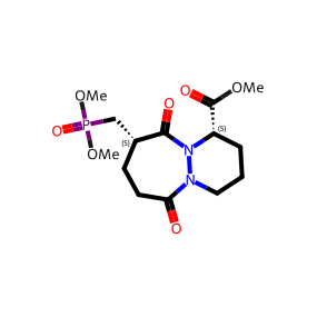 COC(=O)[C@@H]1CCCN2C(=O)CC[C@H](CP(=O)(OC)OC)C(=O)N12